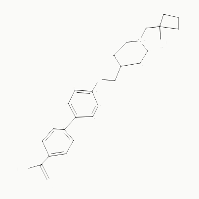 CC(=O)c1ccc(-c2ccc(OCC3CCN(CC4(C)CCC4)CC3)cc2)cc1